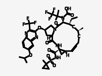 CC[C@@H]1C[C@H](C)CCC=C[C@@H]2C[C@@]2(C(=O)NS(=O)(=O)C2(C)CC2)NC(=O)[C@@H]2C[C@@H](Oc3nc4cc(OC(C)C)ccc4nc3C(F)(F)F)CN2C(=O)[C@H]1N(C(=O)O)C(C)(C)C(F)(F)F